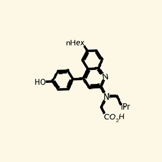 CCCCCCc1ccc2nc(N(CC(=O)O)CC(C)C)cc(-c3ccc(O)cc3)c2c1